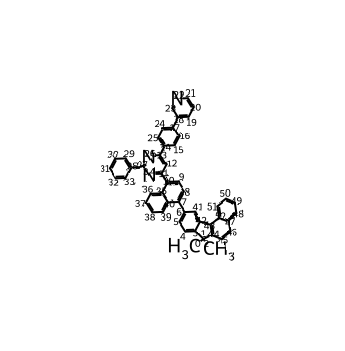 CC1(C)c2ccc(-c3ccc(-c4cc(-c5ccc(-c6cccnc6)cc5)nc(-c5ccccc5)n4)c4ccccc34)cc2-c2c1ccc1ccccc21